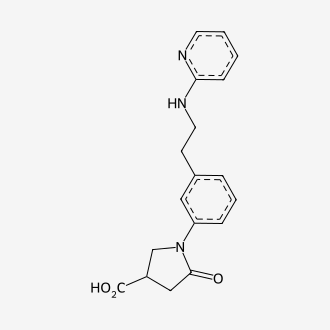 O=C(O)C1CC(=O)N(c2cccc(CCNc3ccccn3)c2)C1